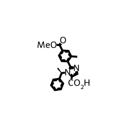 COC(=O)c1ccc(-c2ncc(C(=O)O)n2[C@H](C)c2ccccc2)c(C)c1